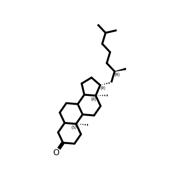 CC(C)CCC[C@@H](C)C[C@H]1CCC2C3CCC4CC(=O)CC[C@]4(C)C3CC[C@@]21C